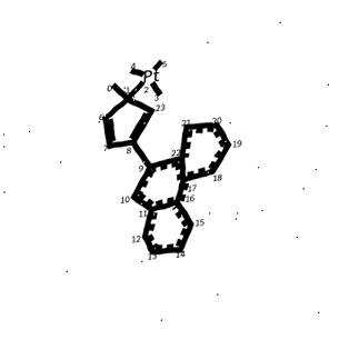 C[C]1([Pt]([CH3])([CH3])[CH3])C=CC(c2cc3ccccc3c3ccccc23)=C1